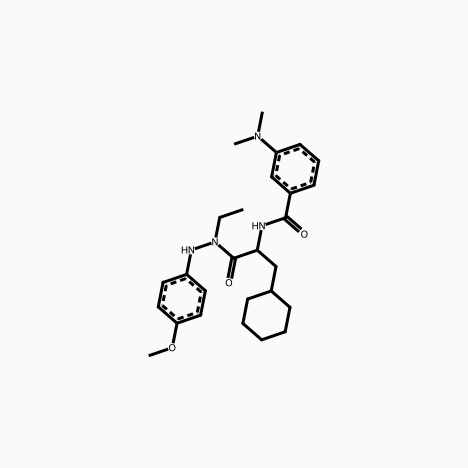 CCN(Nc1ccc(OC)cc1)C(=O)C(CC1CCCCC1)NC(=O)c1cccc(N(C)C)c1